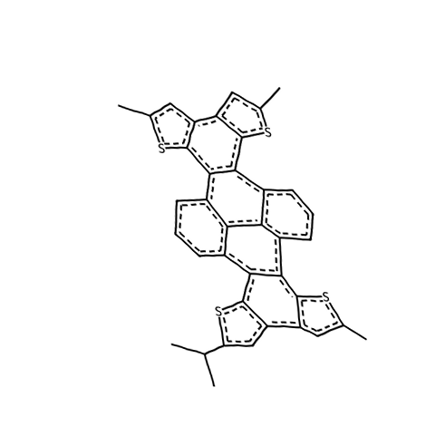 Cc1cc2c3cc(C)sc3c3c4cccc5c4c4c(cccc4c4c6sc(C)cc6c6cc(C(C)C)sc6c54)c3c2s1